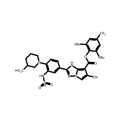 CCCCc1cc(C)cc(CCCC)c1OC(=O)c1c(C#N)cn2nc(-c3ccc(N4CCCC(C(=O)O)C4)c(N[SH](=O)=O)c3)[nH]c12